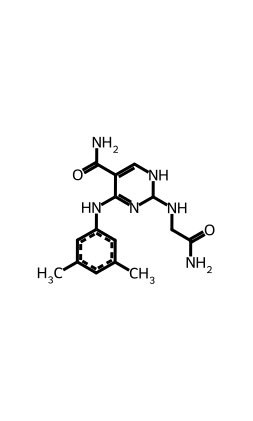 Cc1cc(C)cc(NC2=NC(NCC(N)=O)NC=C2C(N)=O)c1